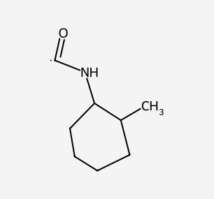 CC1CCCCC1N[C]=O